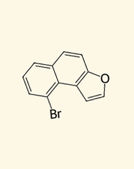 Brc1cccc2ccc3occc3c12